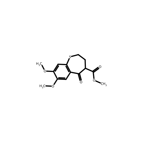 COC(=O)C1CCSc2cc(OC)c(OC)cc2C1=O